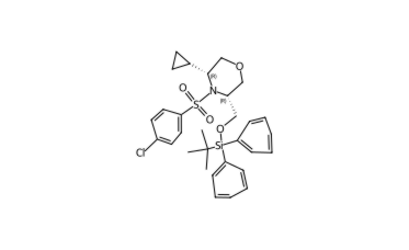 CC(C)(C)[Si](OC[C@H]1COC[C@@H](C2CC2)N1S(=O)(=O)c1ccc(Cl)cc1)(c1ccccc1)c1ccccc1